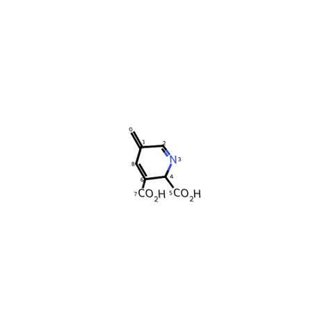 C=C1C=NC(C(=O)O)C(C(=O)O)=C1